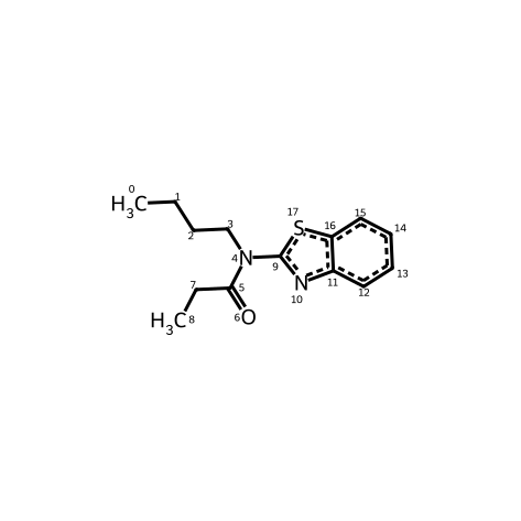 CCCCN(C(=O)CC)c1nc2ccccc2s1